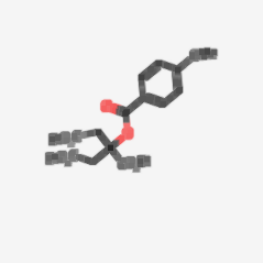 CCOC(=O)CC(CC(=O)OCC)(OC(=O)c1ccc(OC)cc1)C(=O)OCC